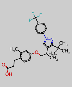 Cc1cc(OCC(C)c2cn(-c3ccc(C(F)(F)F)cc3)nc2C(C)(C)C)ccc1CCC(=O)O